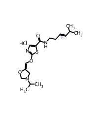 CC(C)/C=C/CCNC(=O)c1cnc(OC=C2CN(C(C)C)CO2)s1.Cl